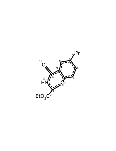 CCOC(=O)c1nc2ccc(C(C)C)cc2c(=O)[nH]1